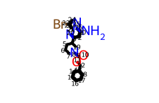 Nc1cc(C2CCCN(C(=O)OCc3ccccc3)C2)nc2c(Br)cnn12